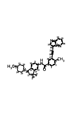 Cc1ccc(C(=O)Nc2ccc3c(c2)C(F)(F)C[C@@H]3N2CCN(C)CC2)cc1C#Cc1cnc2cccnn12